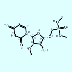 CO[C@@H]1[C@H](O)[C@@H](OCP(=O)(OC)OC)O[C@H]1n1ccc(=O)[nH]c1=O